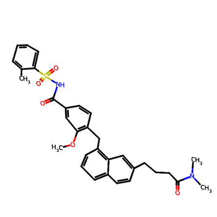 COc1cc(C(=O)NS(=O)(=O)c2ccccc2C)ccc1Cc1cccc2ccc(CCCC(=O)N(C)C)cc12